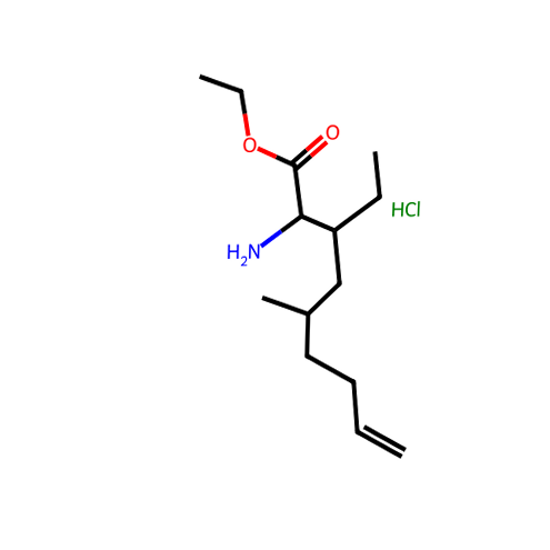 C=CCCC(C)CC(CC)C(N)C(=O)OCC.Cl